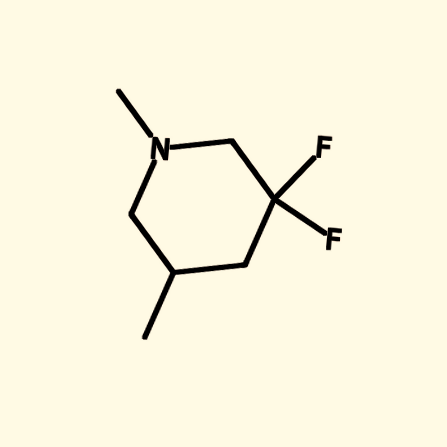 CC1CN(C)CC(F)(F)C1